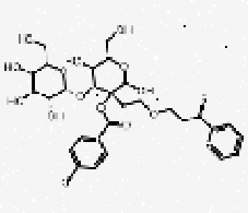 O=C(O[C@@]1(CCOCCC(=S)c2ccccc2)[C@H](O)O[C@H](CO)[C@H](O)[C@@H]1O[C@H]1O[C@H](CO)[C@H](O)[C@H](O)[C@H]1O)c1ccc(Cl)cc1